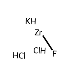 Cl.Cl.[F][Zr].[KH]